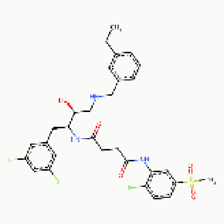 CCc1cccc(CNC[C@H](O)[C@H](Cc2cc(F)cc(F)c2)NC(=O)CCC(=O)Nc2cc(S(C)(=O)=O)ccc2F)c1